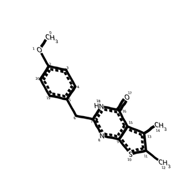 COc1ccc(Cc2nc3sc(C)c(C)c3c(=O)[nH]2)cc1